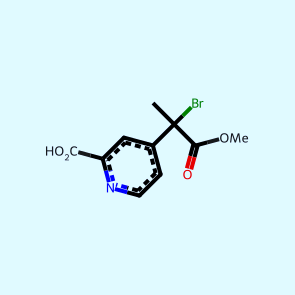 COC(=O)C(C)(Br)c1ccnc(C(=O)O)c1